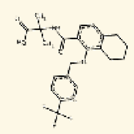 CC(C)(NC(=O)c1ccc2c(c1OCc1ccc(C(F)(F)F)nc1)CCCC2)C(=O)O